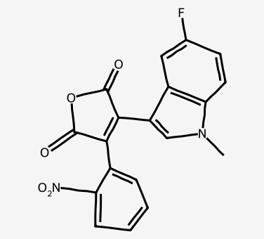 Cn1cc(C2=C(c3ccccc3[N+](=O)[O-])C(=O)OC2=O)c2cc(F)ccc21